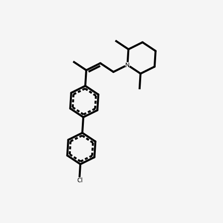 CC(=CCN1C(C)CCCC1C)c1ccc(-c2ccc(Cl)cc2)cc1